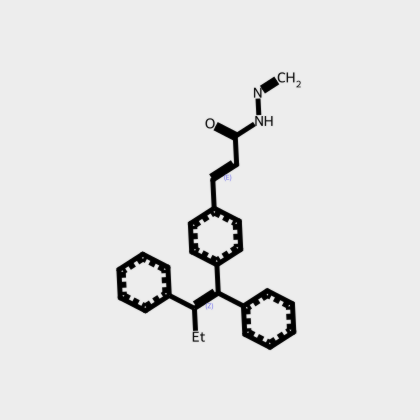 C=NNC(=O)/C=C/c1ccc(/C(=C(/CC)c2ccccc2)c2ccccc2)cc1